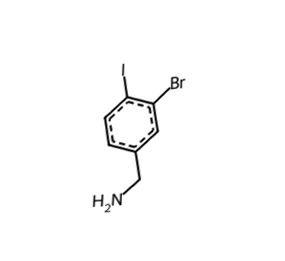 NCc1ccc(I)c(Br)c1